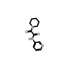 O=C(Nc1cccnc1)C(=O)N1CCCCC1